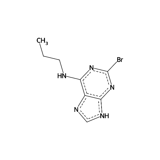 CCCNc1nc(Br)nc2[nH]cnc12